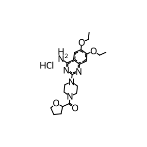 CCOc1cc2nc(N3CCN(C(=O)C4CCCO4)CC3)nc(N)c2cc1OCC.Cl